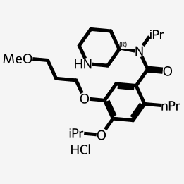 CCCc1cc(OC(C)C)c(OCCCOC)cc1C(=O)N(C(C)C)[C@@H]1CCCNC1.Cl